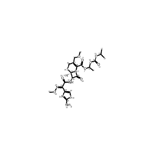 COCC1=C(C(=O)OC(C)OC(=O)OC(C)C)N2C(=O)[C@@H](NC(=O)/C(=N/OC)c3csc(N)n3)[C@H]2SC1